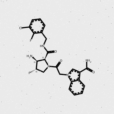 NC(=O)c1cn(CC(=O)N2C[C@H](F)[C@@H](N)[C@H]2C(=O)NCc2cccc(Cl)c2F)c2ccccc12